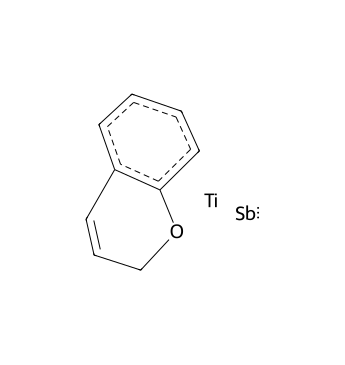 C1=Cc2ccccc2OC1.[Sb].[Ti]